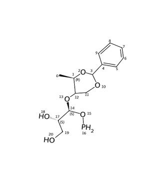 C[C@H]1OC(c2ccccc2)OCC1O[C@@H](OP)[C@@H](O)CO